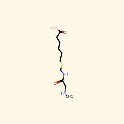 BC(=O)CCCCCSCNC(=O)CNC=O